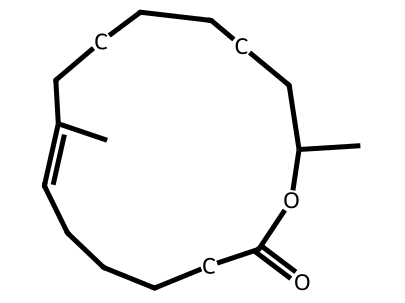 C/C1=C\CCCCC(=O)OC(C)CCCCCC1